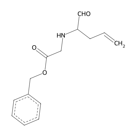 C=CCC(C=O)NCC(=O)OCc1ccccc1